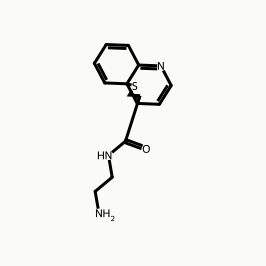 NCCNC(=O)C1=C2C=CN=C3C=CC=CC32SC1